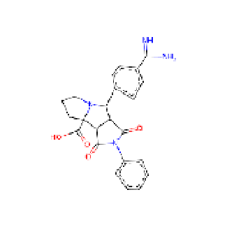 N=C(N)c1ccc(C2C3C(=O)N(c4ccccc4)C(=O)C3C3(C(=O)O)CCCN23)cc1